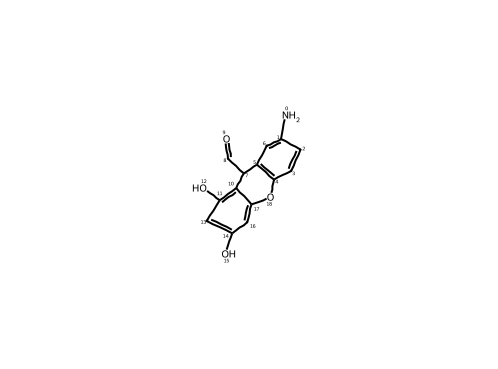 Nc1ccc2c(c1)C(C=O)c1c(O)cc(O)cc1O2